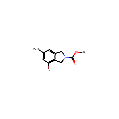 COc1cc(Br)c2c(c1)CN(C(=O)OC(C)(C)C)C2